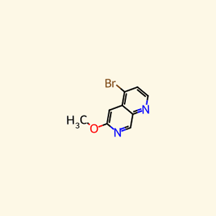 COc1cc2c(Br)ccnc2cn1